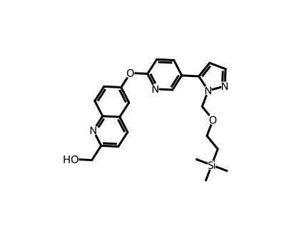 C[Si](C)(C)CCOCn1nccc1-c1ccc(Oc2ccc3nc(CO)ccc3c2)nc1